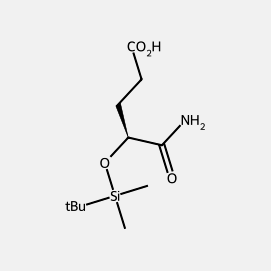 CC(C)(C)[Si](C)(C)O[C@@H](CCC(=O)O)C(N)=O